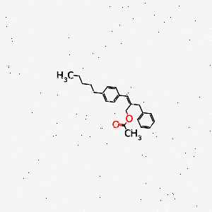 CCCCCc1ccc(C=C(COC(C)=O)Cc2ccccc2)cc1